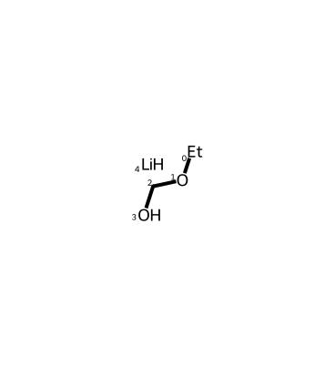 CCOCO.[LiH]